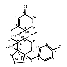 Cc1ccc(C[C@@]23CCC[C@H]2[C@@H]2CCC4=CC(=O)CC[C@@H]4[C@H]2CC3)cc1